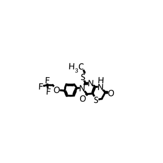 CCSc1nc2c(c(=O)n1-c1ccc(OCC(F)(F)F)cc1)SCC(=O)N2